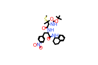 CSC(C)(C)[C@H](NC(=O)OC(C)(C)C)C(=O)NC(Cc1ccc([N+](=O)[O-])cc1)C(=O)NC1CCCc2ccccc21